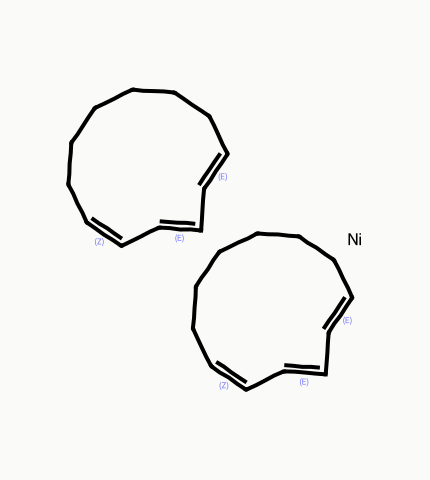 C1=C\CCCCCC/C=C/C=C/1.C1=C\CCCCCC/C=C/C=C/1.[Ni]